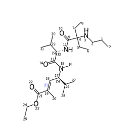 CCCNC(CC)(CC)C(=O)N[C@H](C(=O)N(C)[C@H](/C=C(\C)C(=O)OCC)C(C)C)C(C)C